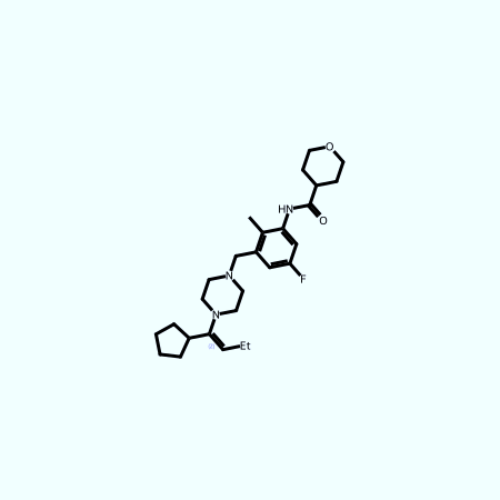 CC/C=C(/C1CCCC1)N1CCN(Cc2cc(F)cc(NC(=O)C3CCOCC3)c2C)CC1